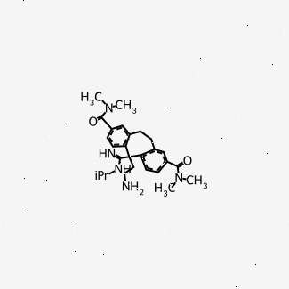 CC(C)NC(=N)C1(CCN)c2ccc(C(=O)N(C)C)cc2CCc2cc(C(=O)N(C)C)ccc21